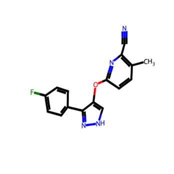 Cc1ccc(Oc2c[nH]nc2-c2ccc(F)cc2)nc1C#N